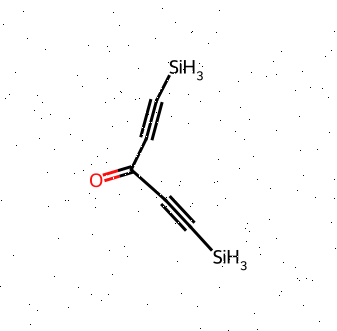 O=C(C#C[SiH3])C#C[SiH3]